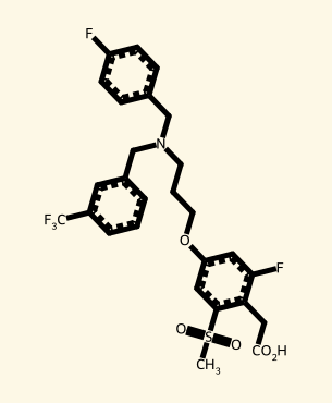 CS(=O)(=O)c1cc(OCCCN(Cc2ccc(F)cc2)Cc2cccc(C(F)(F)F)c2)cc(F)c1CC(=O)O